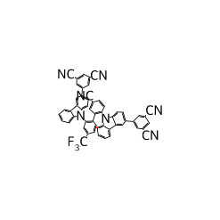 N#Cc1cc(C#N)cc(-c2ccc3c(c2)c2ccccc2n3-c2ccc(C#N)cc2-c2ccc(C(F)(F)F)cc2-n2c3ccccc3c3cc(-c4cc(C#N)cc(C#N)c4)ccc32)c1